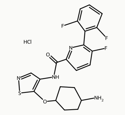 Cl.NC1CCC(Oc2sncc2NC(=O)c2ccc(F)c(-c3c(F)cccc3F)n2)CC1